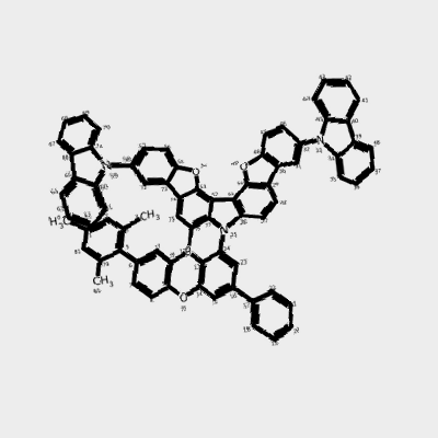 Cc1cc(C)c(-c2ccc3c(c2)B2c4c(cc(-c5ccccc5)cc4-n4c5ccc6c7cc(-n8c9ccccc9c9ccccc98)ccc7oc6c5c5c6oc7ccc(-n8c9ccccc9c9ccccc98)cc7c6cc2c54)O3)c(C)c1